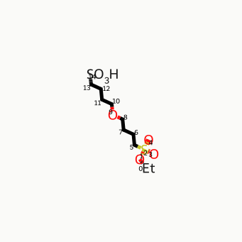 CCOS(=O)(=O)CCCCOCCCCS(=O)(=O)O